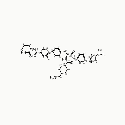 Cc1cc(C(=O)NC2CCCNC2=O)ccc1-c1ccc(CC(NC(=O)C2CCC(CN)CC2)C(=O)Nc2ccc(-c3nc(C(F)F)n[nH]3)cc2)cc1